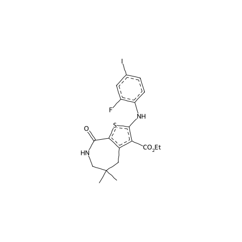 CCOC(=O)c1c(Nc2ccc(I)cc2F)sc2c1CC(C)(C)CNC2=O